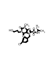 CC(C)NS(=O)(=O)c1nc2c(c(=O)n(CCCO)c(=O)n2C)n1Cc1ccc(Cl)cc1